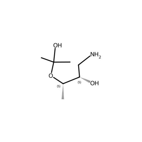 C[C@H](OC(C)(C)O)[C@@H](O)CN